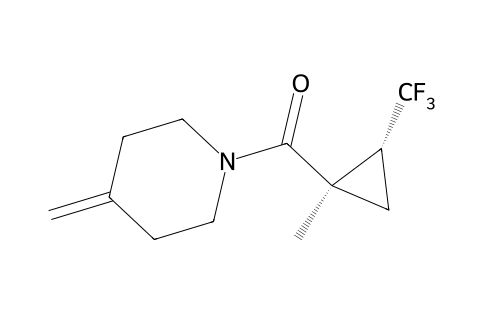 C=C1CCN(C(=O)[C@]2(C)C[C@H]2C(F)(F)F)CC1